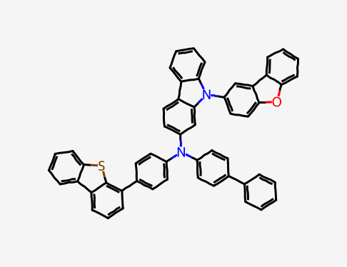 c1ccc(-c2ccc(N(c3ccc(-c4cccc5c4sc4ccccc45)cc3)c3ccc4c5ccccc5n(-c5ccc6oc7ccccc7c6c5)c4c3)cc2)cc1